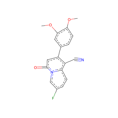 COc1ccc(-c2cc(=O)n3cc(F)ccc3c2C#N)cc1OC